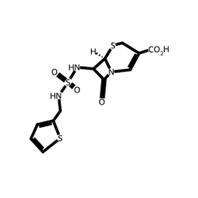 O=C(O)C1=CN2C(=O)C(NS(=O)(=O)NCc3cccs3)[C@H]2SC1